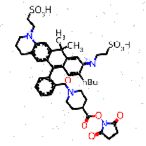 CCCCC1=CC2=C(c3ccccc3C(=O)N3CCC(C(=O)ON4C(=O)CCC4=O)CC3)c3cc4c(cc3C(C)(C)C2=C/C1=N\CCS(=O)(=O)O)N(CCS(=O)(=O)O)CCC4